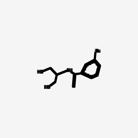 CCC(C)c1cccc(C(=O)NC(CO)CO)c1